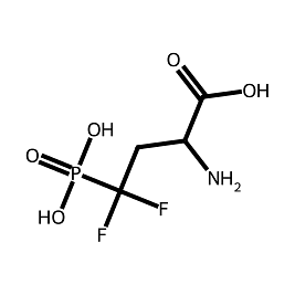 NC(CC(F)(F)P(=O)(O)O)C(=O)O